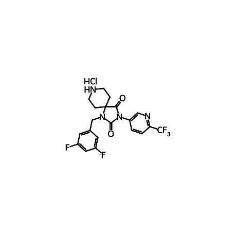 Cl.O=C1N(c2ccc(C(F)(F)F)nc2)C(=O)C2(CCNCC2)N1Cc1cc(F)cc(F)c1